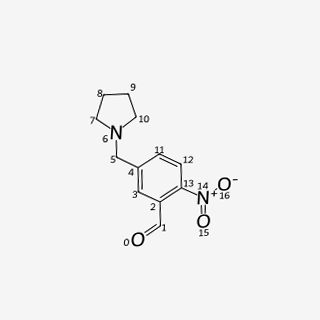 O=Cc1cc(CN2CCCC2)ccc1[N+](=O)[O-]